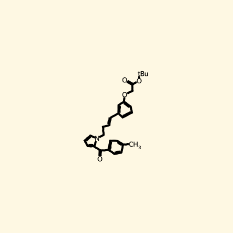 Cc1ccc(C(=O)c2cccn2CC/C=C/c2cccc(OCC(=O)OC(C)(C)C)c2)cc1